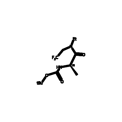 CCN(CC(F)(F)F)C(=O)[C@@H](C)NC(=O)OC(C)(C)C